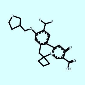 O=C(O)c1cn2c(cc1=O)-c1cc(C(F)F)c(OCC3CCOC3)cc1CC21CCC1